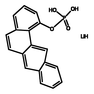 O=P(O)(O)Oc1cccc2ccc3cc4ccccc4cc3c12.[LiH]